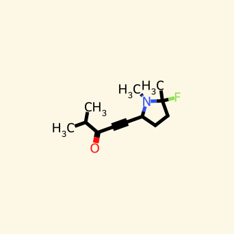 CC(C)C(=O)C#CC1CCC(C)(F)N1C